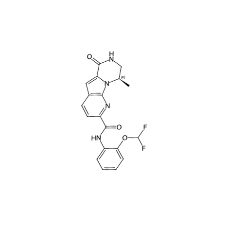 C[C@@H]1CNC(=O)c2cc3ccc(C(=O)Nc4ccccc4OC(F)F)nc3n21